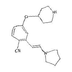 N#Cc1ccc(OC2CCNCC2)cc1/C=C/N1CCCC1